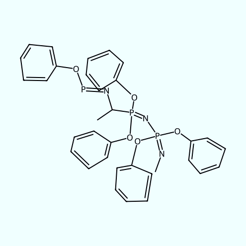 CN=P(N=P(Oc1ccccc1)(Oc1ccccc1)C(C)/N=P/Oc1ccccc1)(Oc1ccccc1)Oc1ccccc1